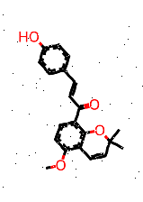 COc1ccc(C(=O)C=Cc2ccc(O)cc2)c2c1C=CC(C)(C)O2